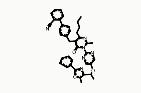 CCCCc1nc(C)n(-c2ncc(OC(C)c3nc(-c4ccccc4)oc3C)cn2)c(=O)c1Cc1ccc(-c2ccccc2C#N)cc1